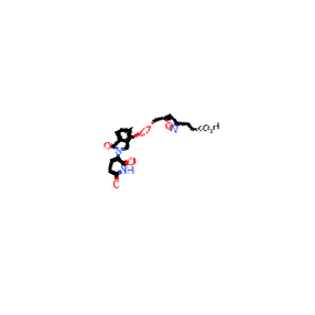 O=C1CCC(N2Cc3c(OCc4cc(CCS(=O)(=O)O)no4)cccc3C2=O)C(=O)N1